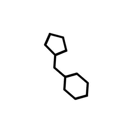 C1CC[C](CC2CCCC2)CC1